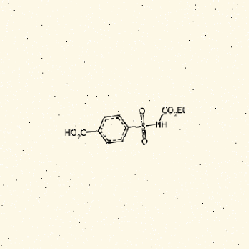 CCOC(=O)NS(=O)(=O)c1ccc(C(=O)O)cc1